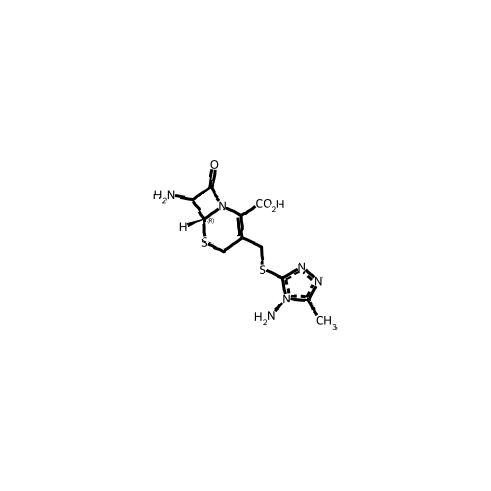 Cc1nnc(SCC2=C(C(=O)O)N3C(=O)C(N)[C@H]3SC2)n1N